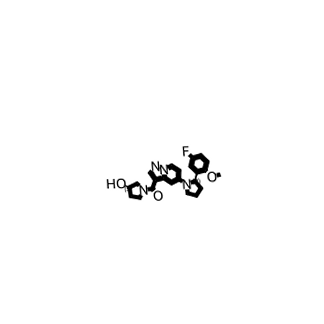 COc1ccc(F)cc1[C@H]1CCCN1c1ccn2ncc(C(=O)N3CC[C@H](O)C3)c2c1